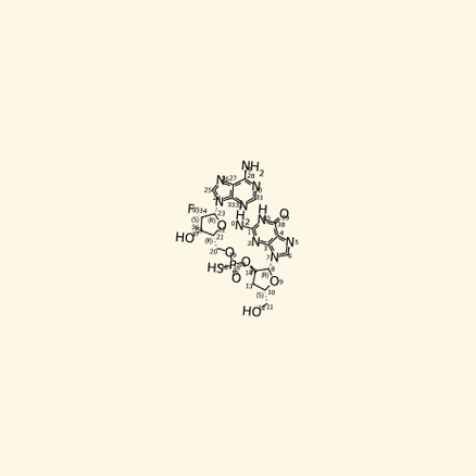 Nc1nc2c(ncn2[C@@H]2O[C@H](CO)C[C@H]2OP(=O)(S)OC[C@H]2O[C@@H](n3cnc4c(N)ncnc43)[C@@H](F)[C@H]2O)c(=O)[nH]1